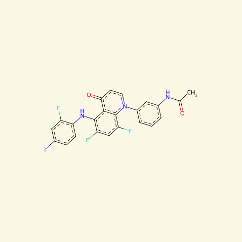 CC(=O)Nc1cccc(-n2ccc(=O)c3c(Nc4ccc(I)cc4F)c(F)cc(F)c32)c1